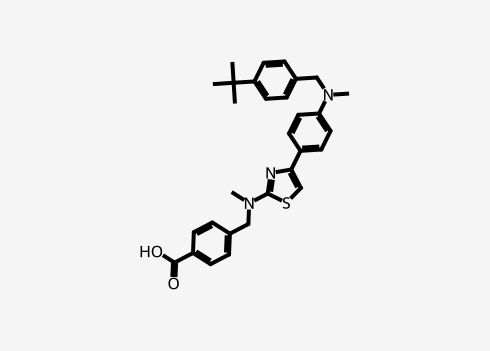 CN(Cc1ccc(C(C)(C)C)cc1)c1ccc(-c2csc(N(C)Cc3ccc(C(=O)O)cc3)n2)cc1